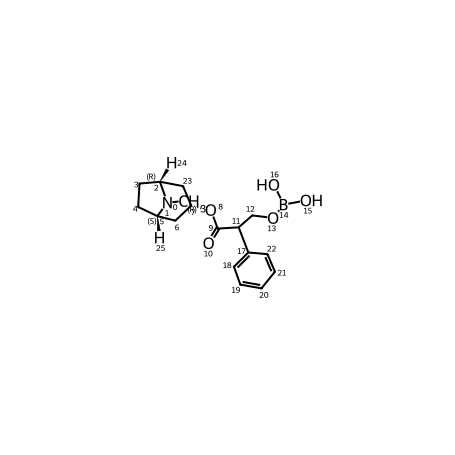 CN1[C@@H]2CC[C@H]1C[C@@H](OC(=O)C(COB(O)O)c1ccccc1)C2